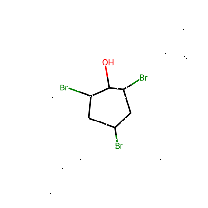 OC1C(Br)CC(Br)CC1Br